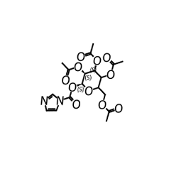 CC(=O)OCC1O[C@@H](OC(=O)n2ccnc2)[C@@H](OC(C)=O)[C@@H](OC(C)=O)C1OC(C)=O